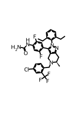 CCc1cccc(CC)c1-n1nc2c(c1-c1cc(F)c(NC(N)=O)cc1F)CN(Cc1ccc(Cl)cc1C(F)(F)F)[C@H](C)C2